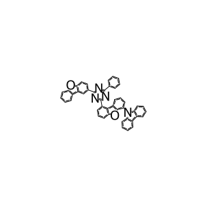 c1ccc(-c2nc(-c3ccc4oc5ccccc5c4c3)nc(-c3cccc4oc5c(-n6c7ccccc7c7ccccc76)cccc5c34)n2)cc1